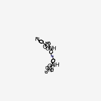 CN(C)c1ccc(C(=O)N2CCCC2C(=O)NC2C=CC(/C=C/c3ccc(NC(=O)[C@@H]4CCCN4C(=O)C4CCC4)cc3)=CC2)cc1